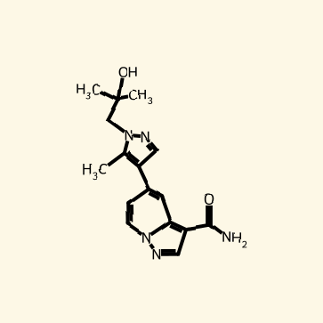 Cc1c(-c2ccn3ncc(C(N)=O)c3c2)cnn1CC(C)(C)O